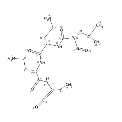 CCC(=C=O)NC(=O)[C@H](CCN)NC(=O)[C@H](CCN)NC(=O)[C@H](CC(C)C)N=O